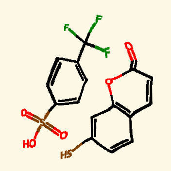 O=S(=O)(O)c1ccc(C(F)(F)F)cc1.O=c1ccc2ccc(S)cc2o1